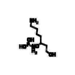 NCCCCC(O)CCO.NP(O)O